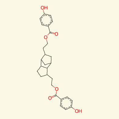 O=C(OCCC1CC2CC1C1CCC(CCOC(=O)c3ccc(O)cc3)C21)c1ccc(O)cc1